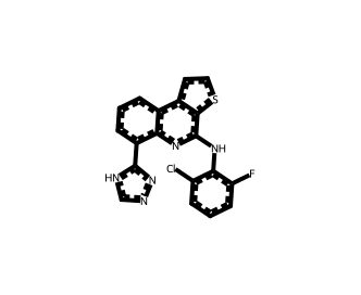 Fc1cccc(Cl)c1Nc1nc2c(-c3nnc[nH]3)cccc2c2ccsc12